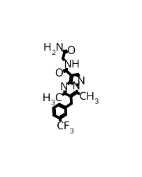 Cc1nc2c(C(=O)NCC(N)=O)cnn2c(C)c1Cc1cccc(C(F)(F)F)c1